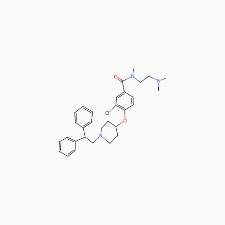 CN(C)CCN(C)C(=O)c1ccc(OC2CCN(CC(c3ccccc3)c3ccccc3)CC2)c(Cl)c1